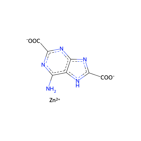 Nc1nc(C(=O)[O-])nc2nc(C(=O)[O-])[nH]c12.[Zn+2]